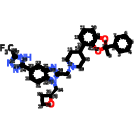 CC1(c2ccccc2)Oc2cccc(C3CCN(Cc4nc5cc(-c6nnc(C(F)(F)F)[nH]6)ccc5n4C[C@@H]4CCO4)CC3)c2O1